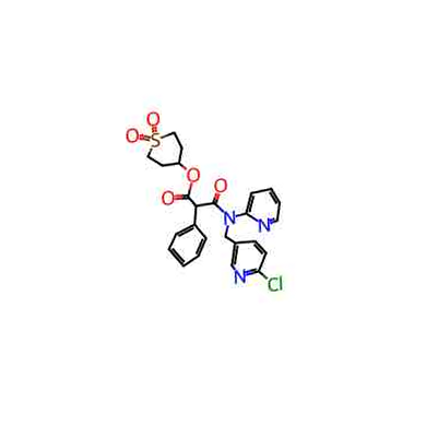 O=C(OC1CCS(=O)(=O)CC1)C(C(=O)N(Cc1ccc(Cl)nc1)c1ccccn1)c1ccccc1